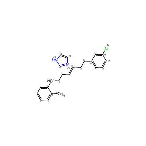 Cc1ccccc1BCCC=CCCc1cccc(Cl)c1.c1c[nH]cn1